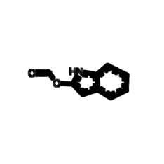 O=[C]Oc1cc2ccccc2[nH]1